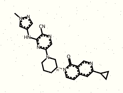 Cn1cc(Nc2nc(N3CCC[C@@H](n4ccc5cc(C6CC6)ncc5c4=O)C3)cnc2C#N)cn1